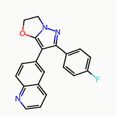 Fc1ccc(-c2nn3c(c2-c2ccc4ncccc4c2)OCC3)cc1